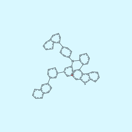 c1cc(-c2cccc(N(c3ccc(-c4cccc5ccccc45)cc3)c3ccccc3-c3cccc4sc5ccccc5c34)c2)cc(-c2ccc3ccccc3c2)c1